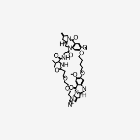 C=C1C[C@H]2CN(C(=O)CNC(=O)C(NC(=O)CCOCCOCCN=[N+]=[N-])C(C)C)c3cc(OCCCCCOc4cc5c(cc4OC)C(=O)N4CC(=C)C[C@H]4C=N5)c(OC)cc3C(=O)N2C1